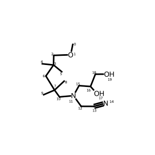 COCC(C)(C)CC(C)(C)CN(CC#N)CC(O)CO